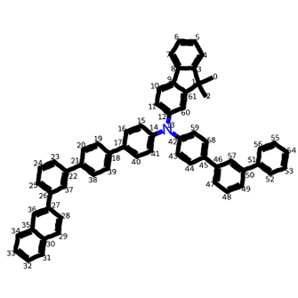 CC1(C)c2ccccc2-c2ccc(N(c3ccc(-c4ccc(-c5cccc(-c6ccc7ccccc7c6)c5)cc4)cc3)c3ccc(-c4cccc(-c5ccccc5)c4)cc3)cc21